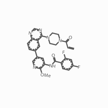 C=CC(=O)N1CCN(c2ncnc3ccc(-c4cnc(OC)c(NC(=O)c5ccc(F)cc5F)c4)cc23)CC1